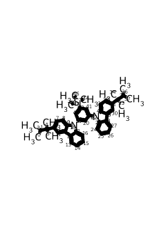 CC(C)C(C)(C)c1ccc2c(c1)c1ccccc1n2-c1cc(-n2c3ccccc3c3cc(C(C)(C)C(C)C)ccc32)cc([Si](C)(C)C)c1